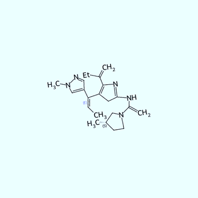 C=C(CC)C1=C(/C(=C\C)c2cnn(C)c2)CC(NC(=C)N2CC[C@H](C)C2)=N1